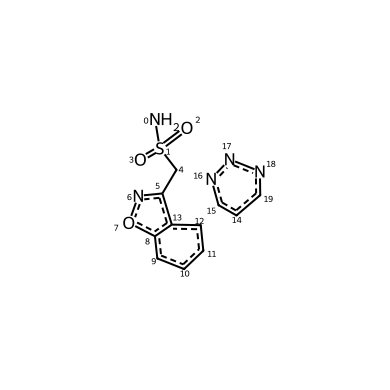 NS(=O)(=O)Cc1noc2ccccc12.c1cnnnc1